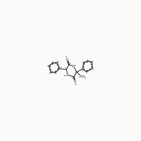 CC1(c2ccccc2)OC(=O)C(c2ccccc2)OC1=O